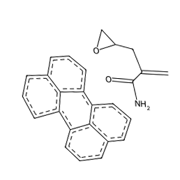 C=C(CC1CO1)C(N)=O.c1cc2cccc3c4cccc5cccc(c(c1)c23)c54